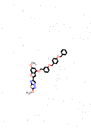 COc1cc(OCc2cccc(OCc3ccc(OCc4ccccc4)cc3)c2)c2cc(-c3cn4nc(OC)sc4n3)oc2c1